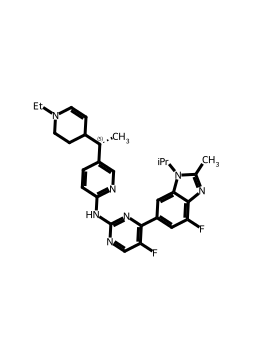 CCN1C=CC([C@H](C)c2ccc(Nc3ncc(F)c(-c4cc(F)c5nc(C)n(C(C)C)c5c4)n3)nc2)CC1